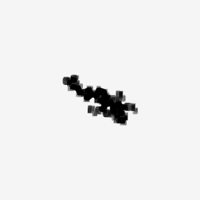 Cc1c(-c2[nH]c3ccc(C4CN(CCC[SH](=O)=O)C4)nc3c2C(C)C)cn2ncnc2c1C